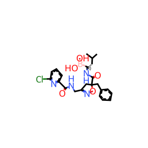 CC(C)C[C@H](NC(=O)C1(Cc2ccccc2)CC(CNC(=O)c2cccc(Cl)n2)=NO1)B(O)O